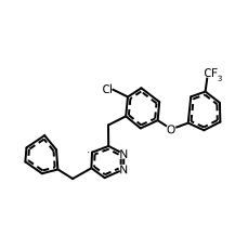 FC(F)(F)c1cccc(Oc2ccc(Cl)c(Cc3[c]c(Cc4ccccc4)cnn3)c2)c1